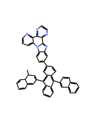 CC1C=C(c2c3ccccc3c(-c3ccc4ccccc4c3)c3ccc(-c4ccc5c(c4)nc4c6nccnc6c6ncccc6n54)cc23)C=C2C=CC=CC21